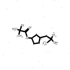 CCC(C)(C)C(=O)OC1CCC(CC(O)(C(F)(F)F)C(F)(F)F)C1